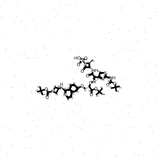 C[C@H]1[C@H](NC(=O)/C(=N\O[C@@H](COc2ccc3c(NC4CN(C(=O)OC(C)(C)C)C4)nccc3c2)C(=O)OC(C)(C)C)c2csc(NC(=O)OC(C)(C)C)n2)C(=O)N1S(=O)(=O)O